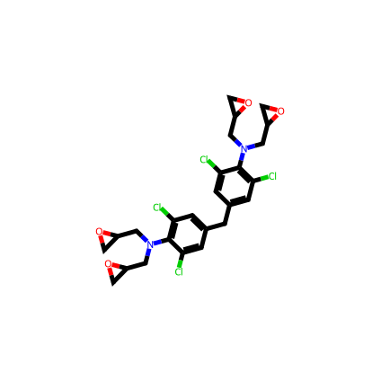 Clc1cc(Cc2cc(Cl)c(N(CC3CO3)CC3CO3)c(Cl)c2)cc(Cl)c1N(CC1CO1)CC1CO1